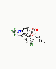 CCCCOC(C(=O)O)c1c(C)cc2nc(C(F)(F)F)ccc2c1-c1ccc(Cl)cc1